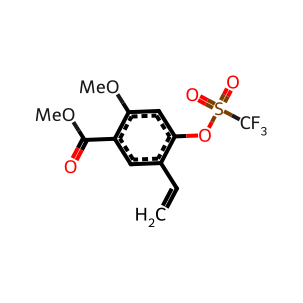 C=Cc1cc(C(=O)OC)c(OC)cc1OS(=O)(=O)C(F)(F)F